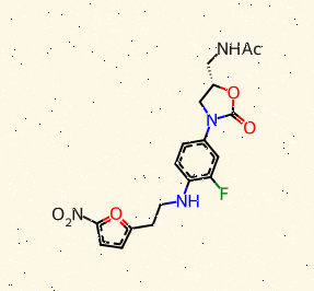 CC(=O)NC[C@H]1CN(c2ccc(NCCc3ccc([N+](=O)[O-])o3)c(F)c2)C(=O)O1